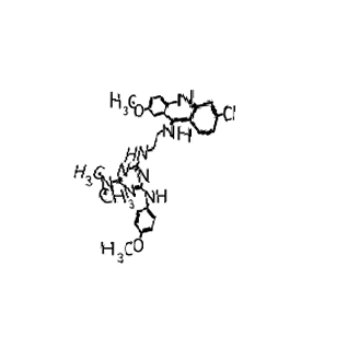 COc1ccc(Nc2nc(NCCNc3c4ccc(Cl)cc4nc4ccc(OC)cc34)nc(N(C)C)n2)cc1